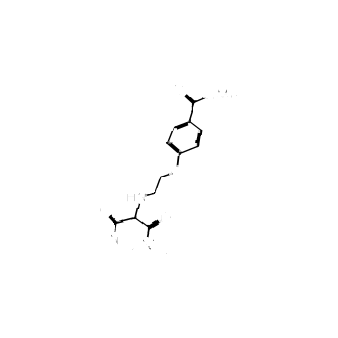 COC(=O)c1ccc(OCCNC(C(N)=O)C(N)=O)cc1